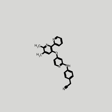 Cc1cc(Oc2ccnc(Nc3ccc(CC#N)cc3)c2)c(-c2ccccn2)nc1C